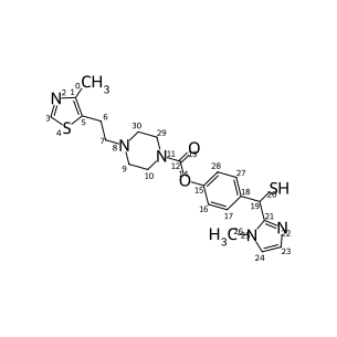 Cc1ncsc1CCN1CCN(C(=O)Oc2ccc(C(S)c3nccn3C)cc2)CC1